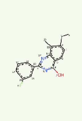 CCc1ccc2c(O)nc(-c3cccc(F)c3)nc2c1C